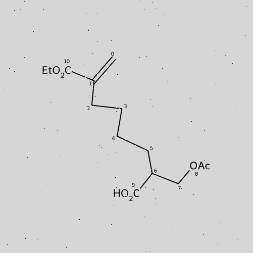 C=C(CCCCC(COC(C)=O)C(=O)O)C(=O)OCC